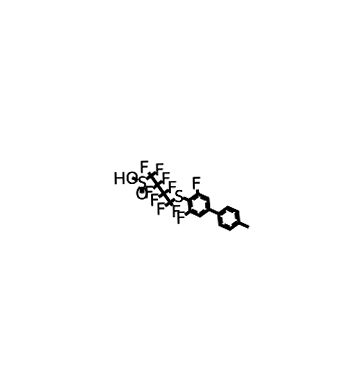 Cc1ccc(-c2cc(F)c(SC(F)(F)C(F)(F)C(F)(F)C(F)(F)S(=O)O)c(F)c2)cc1